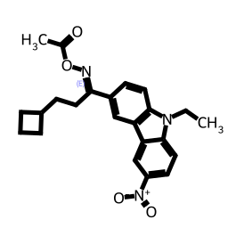 CCn1c2ccc(/C(CCC3CCC3)=N/OC(C)=O)cc2c2cc([N+](=O)[O-])ccc21